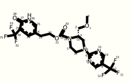 COC[C@@H]1CN(c2ncc(C(F)(F)F)cn2)CCN1C(=O)OCCc1c[nH]c(=O)c(C(F)(F)F)c1